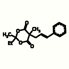 CCC1(C)OC(=O)C(C)(CC=Cc2ccccc2)C(=O)O1